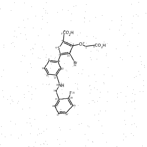 O=C(O)COc1c(C(=O)O)sc(-c2cccc(NCc3ccccc3F)c2)c1Br